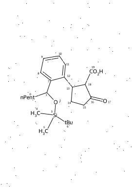 CCCCCC(O[Si](C)(C)C(C)(C)C)c1ccccc1C1CCC(=O)C1C(=O)O